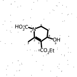 CCOC(=O)C1=C(C)N(C(=O)O)CCC1O